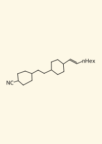 CCCCCC/C=C/C1CCC(CCC2CCC(C#N)CC2)CC1